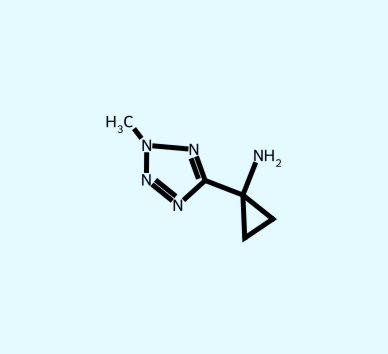 Cn1nnc(C2(N)CC2)n1